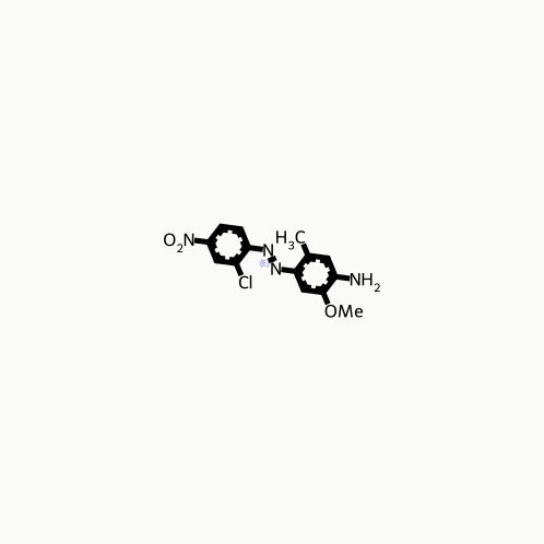 COc1cc(/N=N/c2ccc([N+](=O)[O-])cc2Cl)c(C)cc1N